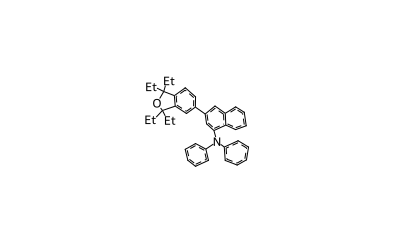 CCC1(CC)OC(CC)(CC)c2cc(-c3cc(N(c4ccccc4)c4ccccc4)c4ccccc4c3)ccc21